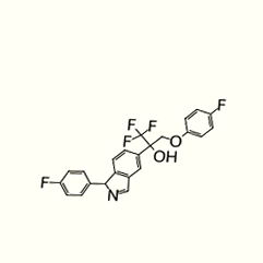 OC(COc1ccc(F)cc1)(c1ccc2c(c1)C=NC2c1ccc(F)cc1)C(F)(F)F